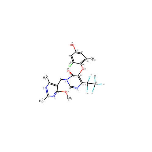 COc1nc(C)nc(C)c1Cn1cnc(C(F)(F)C(F)(F)F)c(Oc2c(C)cc(O)cc2Cl)c1=O